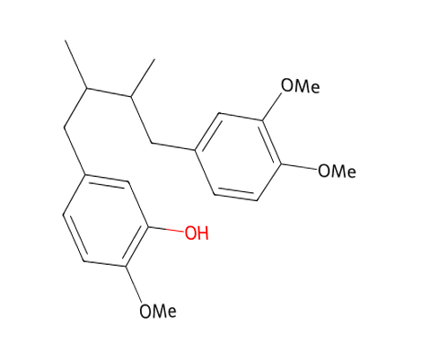 COc1ccc(CC(C)C(C)Cc2ccc(OC)c(OC)c2)cc1O